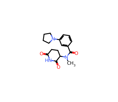 CN(C(=O)c1cccc(N2CCCC2)c1)C1CCC(=O)NC1=O